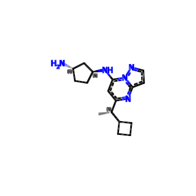 C[C@H](c1cc(N[C@H]2CC[C@H](N)C2)n2nccc2n1)C1CCC1